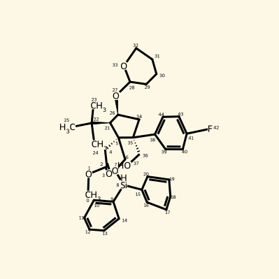 COC(=O)C[C@]1(CO[SiH](c2ccccc2)c2ccccc2)[C@@H](C(C)(C)C)[C@@H](OC2CCCCO2)C[C@@]1(CO)c1ccc(F)cc1